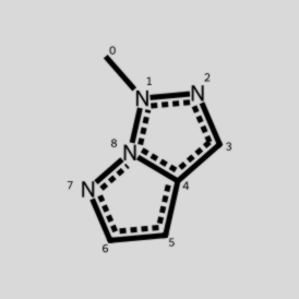 Cn1ncc2ccnn21